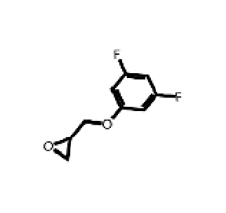 Fc1cc(F)cc(OCC2CO2)c1